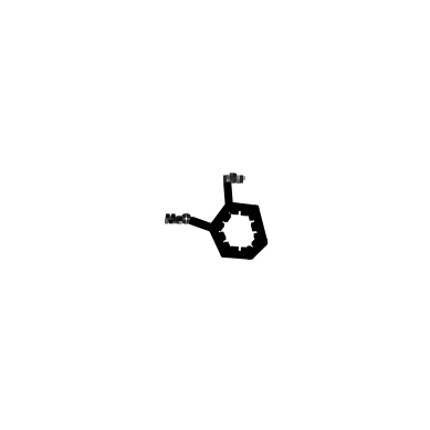 CCC[CH]c1ccccc1OC